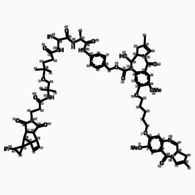 COc1cc2c(cc1OCCCCCOc1cc3c(cc1OC)C(=O)N1C=C(C)CC1C(O)N3C(=O)OCc1ccc(NC(=O)[C@H](C)NC(=O)C(NC(=O)CCC(C)(C)OCC(C)(C)NC(=O)CCN3C(=O)C4C(C3=O)C3C5(C=CC45)C34CC4C(C)C)C(C)C)cc1)N=CC1CC(C)=CN1C2=O